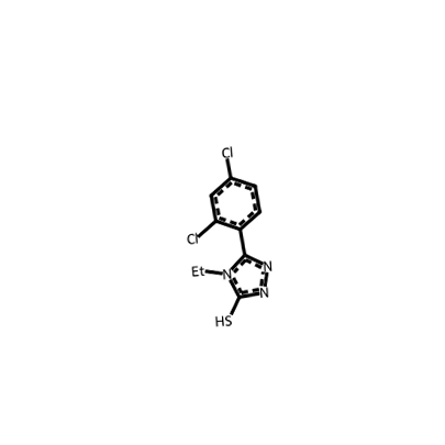 CCn1c(S)nnc1-c1ccc(Cl)cc1Cl